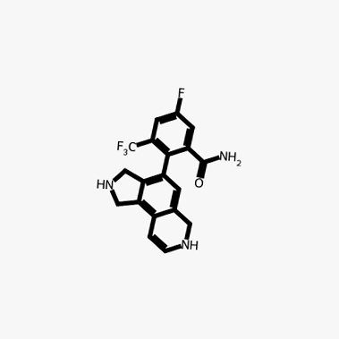 NC(=O)c1cc(F)cc(C(F)(F)F)c1-c1cc2c(c3c1CNC3)C=CNC2